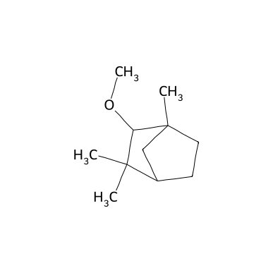 COC1C2(C)CCC(C2)C1(C)C